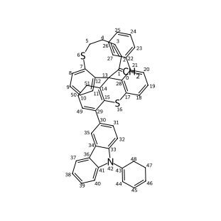 C=C1/C=C\CCSc2ccccc2C12C1=C(Sc3cccc(-c4ccccc4)c32)C(c2ccc3c(c2)c2ccccc2n3C2=CC=CCC2)=CCC1